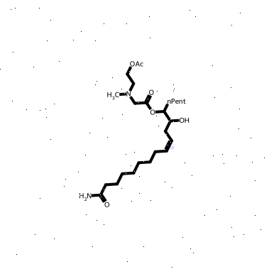 CCCCCC(OC(=O)CN(C)CCOC(C)=O)C(O)C/C=C\CCCCCCCC(N)=O